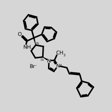 Cc1n([C@H]2CC[C@@H](C(C(N)=O)(c3ccccc3)c3ccccc3)C2)cc[n+]1CC=Cc1ccccc1.[Br-]